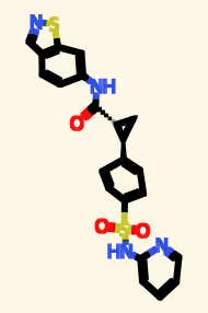 O=C(Nc1ccc2cnsc2c1)[C@@H]1C[C@H]1c1ccc(S(=O)(=O)Nc2ccccn2)cc1